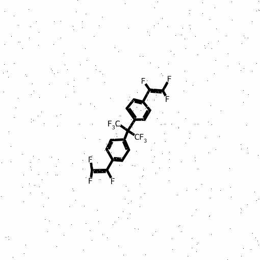 FC(F)=C(F)c1ccc(C(c2ccc(C(F)=C(F)F)cc2)(C(F)(F)F)C(F)(F)F)cc1